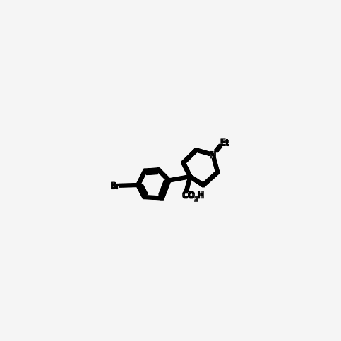 CCN1CCC(C(=O)O)(c2ccc(Br)cc2)CC1